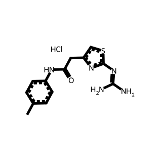 Cc1ccc(NC(=O)Cc2csc(N=C(N)N)n2)cc1.Cl